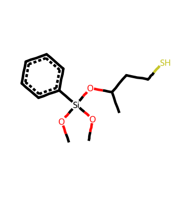 CO[Si](OC)(OC(C)CCS)c1ccccc1